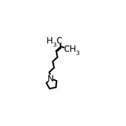 CC(C)=CCCCCN1CCCC1